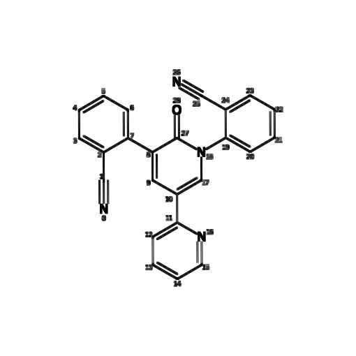 N#Cc1ccccc1-c1cc(-c2ccccn2)cn(-c2ccccc2C#N)c1=O